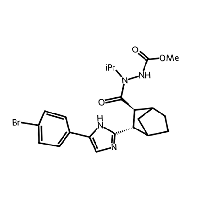 COC(=O)NN(C(=O)[C@H]1C2CCC(C2)[C@@H]1c1ncc(-c2ccc(Br)cc2)[nH]1)C(C)C